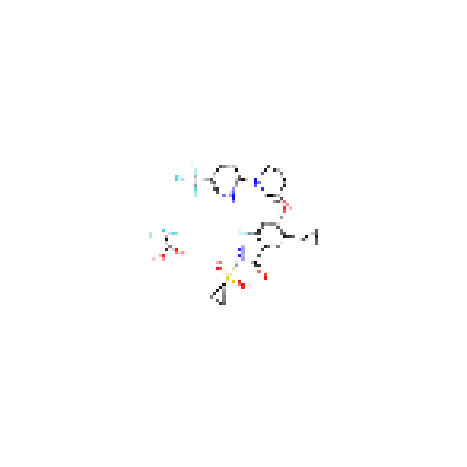 O=C(NS(=O)(=O)C1CC1)c1cc(C2CC2)c(O[C@@H]2CCCN(c3ccc(C(F)(F)F)cn3)C2)cc1F.O=C(O)C(F)(F)F